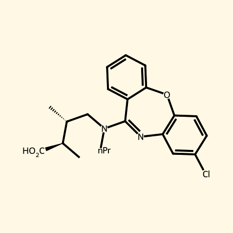 CCCN(C[C@@H](C)[C@@H](C)C(=O)O)C1=Nc2cc(Cl)ccc2Oc2ccccc21